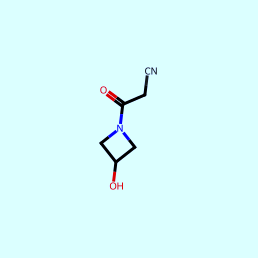 N#CCC(=O)N1CC(O)C1